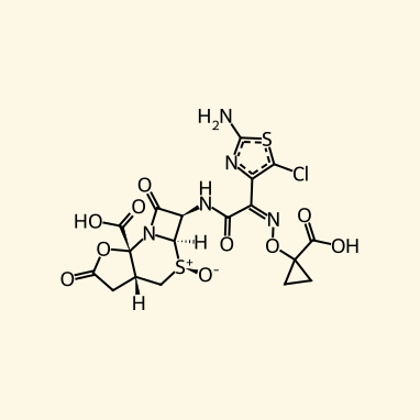 Nc1nc(/C(=N/OC2(C(=O)O)CC2)C(=O)N[C@@H]2C(=O)N3[C@@H]2[S@@+]([O-])C[C@@H]2CC(=O)O[C@@]23C(=O)O)c(Cl)s1